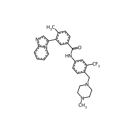 Cc1ccc(C(=O)Nc2ccc(CN3CCN(C)CC3)c(C(F)(F)F)c2)cc1-c1cnc2ccccn12